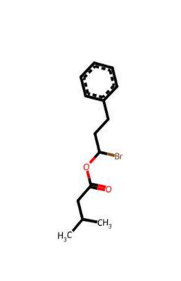 CC(C)CC(=O)OC(Br)CCc1ccccc1